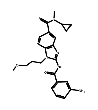 COCCCn1c(NC(=O)c2cccc(N)c2)nc2cc(C(=O)N(C)C3CC3)cnc21